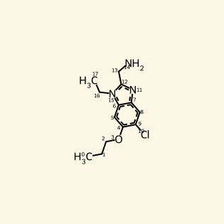 CCCOc1cc2c(cc1Cl)nc(CN)n2CC